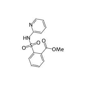 COC(=O)c1ccccc1S(=O)(=O)Nc1ccccn1